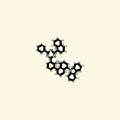 c1ccc(-c2nc(-c3cccc4c3Oc3ccc(-n5c6ccccc6c6ccccc65)c5cccc-4c35)nc(-c3cccc4ccccc34)n2)cc1